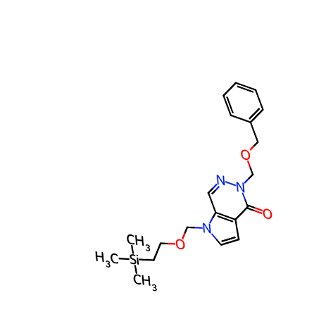 C[Si](C)(C)CCOCn1ccc2c(=O)n(COCc3ccccc3)ncc21